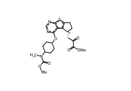 COC(=O)C(=O)C[C@H]1CCc2sc3ncnc(OC4CCC(N(C)C(=O)OC(C)(C)C)CC4)c3c21